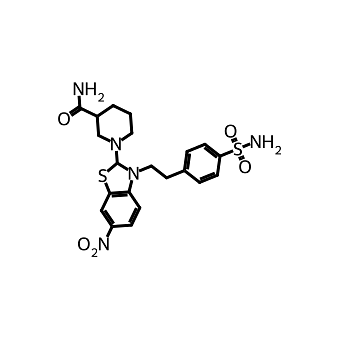 NC(=O)C1CCCN(C2Sc3cc([N+](=O)[O-])ccc3N2CCc2ccc(S(N)(=O)=O)cc2)C1